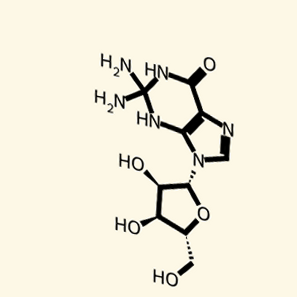 NC1(N)NC(=O)c2ncn([C@@H]3O[C@H](CO)[C@@H](O)[C@H]3O)c2N1